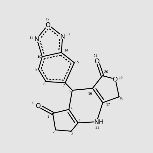 O=C1CCC2=C1C(c1ccc3nonc3c1)C1=C(COC1=O)N2